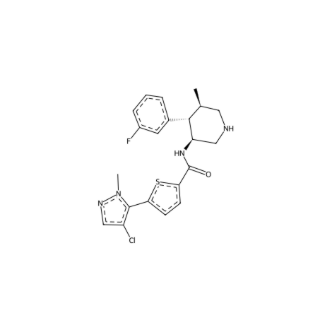 C[C@H]1CNC[C@@H](NC(=O)c2ccc(-c3c(Cl)cnn3C)s2)[C@@H]1c1cccc(F)c1